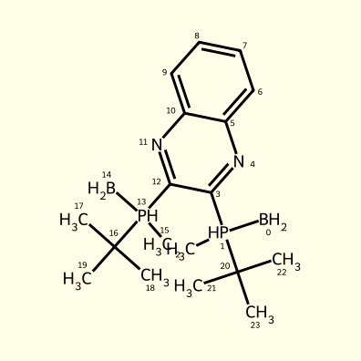 B[PH](C)(c1nc2ccccc2nc1[PH](B)(C)C(C)(C)C)C(C)(C)C